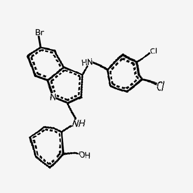 Oc1ccccc1Nc1cc(Nc2ccc(Cl)c(Cl)c2)c2cc(Br)ccc2n1